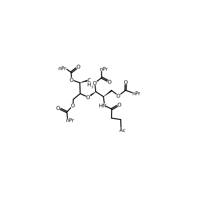 CCCC(=O)OCC(O[C@@H](OC(=O)CCC)[C@@H](COC(=O)CCC)NC(=O)CCC(C)=O)[C@H](C)OC(=O)CCC